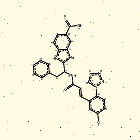 O=C(C=Cc1cc(Cl)ccc1-n1cnnn1)NC(Cc1ccccc1)c1nc2cc(C(=O)O)ccc2[nH]1